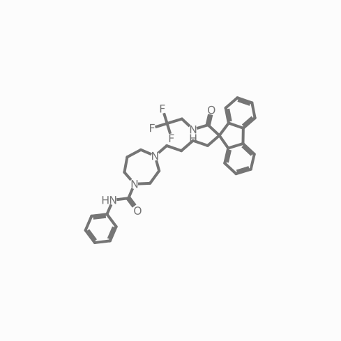 O=C(Nc1ccccc1)N1CCCN(CCCCC2(C(=O)NCC(F)(F)F)c3ccccc3-c3ccccc32)CC1